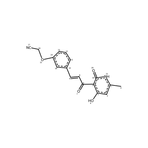 Cc1cc(O)c(C(=O)C=Cc2cccc(OCC#N)c2)c(=O)[nH]1